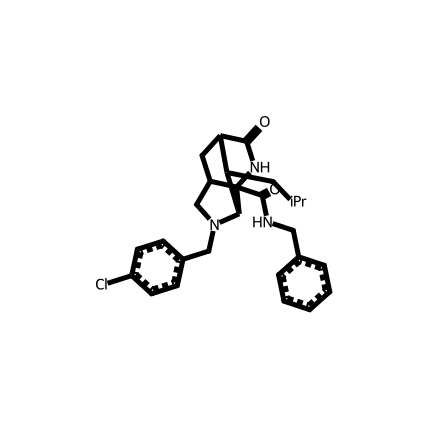 CC(C)CC1C2CC3CN(Cc4ccc(Cl)cc4)C1C3(C(=O)NCc1ccccc1)NC2=O